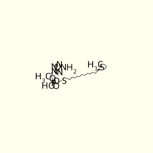 C[C@H](Cn1cnc2c(N)ncnc21)OCP(=O)(O)OCCSCCCCCCCCCCCCC#CS1(C)CCC1